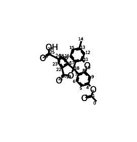 CC(=O)Oc1ccc2c(c1)Oc1cc(C)ccc1C21OC(=O)c2cc(C(=O)O)ccc21